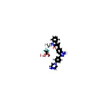 CN1C(=O)C2(CC2c2ccc3c(-c4ccc(N5CCNCC5)cc4)n[nH]c3c2)c2ccccc21.O=C(O)C(F)(F)F